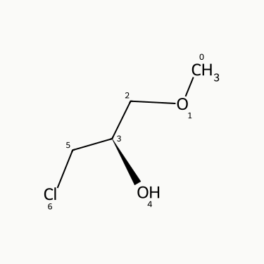 COC[C@@H](O)CCl